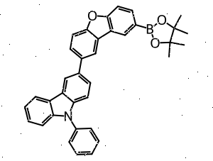 CC1(C)OB(c2ccc3oc4ccc(-c5ccc6c(c5)c5ccccc5n6-c5ccccc5)cc4c3c2)OC1(C)C